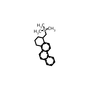 C[Si](C)(C)CC1CCCc2c1ccc1c2ccc2ccccc21